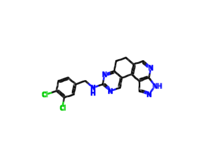 Clc1ccc(CNc2ncc3c(n2)CCc2cnc4[nH]ncc4c2-3)cc1Cl